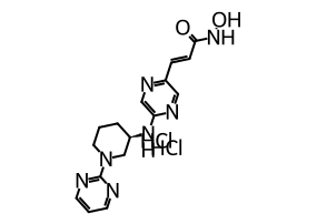 Cl.Cl.O=C(C=Cc1cnc(N[C@@H]2CCCN(c3ncccn3)C2)cn1)NO